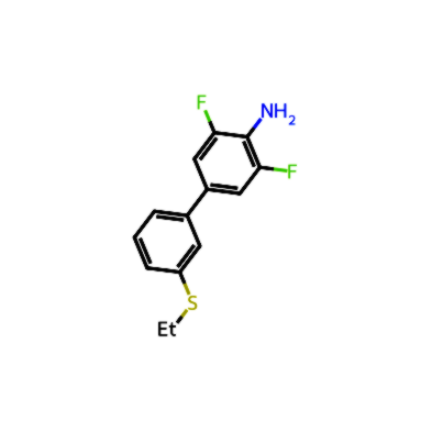 CCSc1cccc(-c2cc(F)c(N)c(F)c2)c1